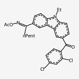 CCCCC/C(=N\OC(C)=O)c1ccc2c(c1)c1cc(C(=O)c3ccc(Cl)cc3Cl)ccc1n2CC